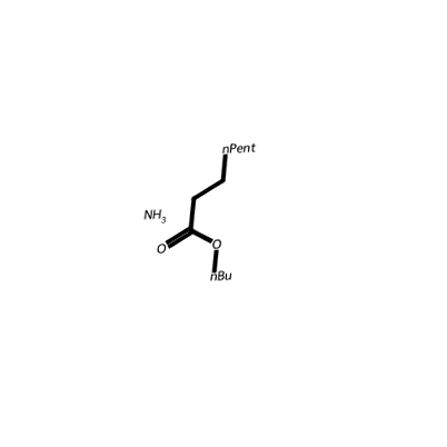 CCCCCCCC(=O)OCCCC.N